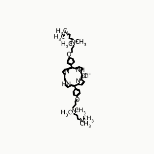 CN(C)CCC[N+](C)(C)CCCOc1ccc(-c2c3nc(cc4ccc([nH]4)c(-c4ccc(OCCC[N+](C)(C)CCCN(C)C)cc4)c4nc(cc5ccc2[nH]5)C=C4)C=C3)cc1.[Cl-].[Cl-]